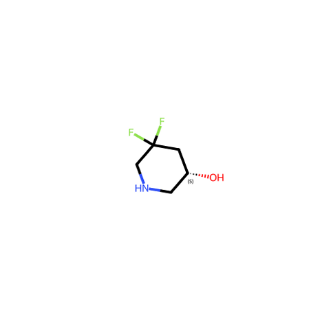 O[C@@H]1CNCC(F)(F)C1